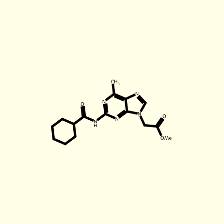 COC(=O)Cn1cnc2c(C)nc(NC(=O)C3CCCCC3)nc21